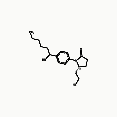 CCCCCC(O)c1ccc(N2C(=O)CC[C@@H]2CCS)cc1